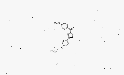 COc1ccc(Nc2ccn(-c3ccc(OCC(=O)O)cc3)n2)cc1